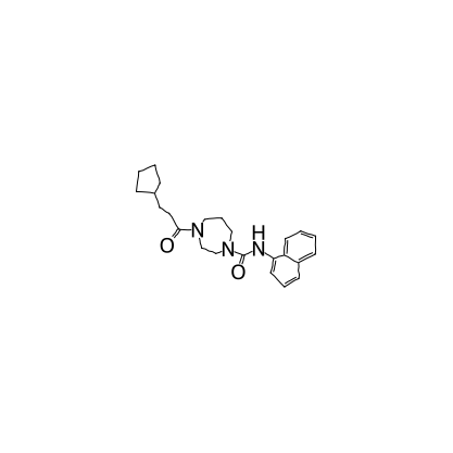 O=C(CCC1CCCC1)N1CCCN(C(=O)Nc2cccc3ccccc23)CC1